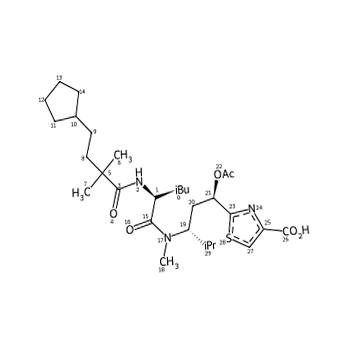 CC[C@H](C)[C@H](NC(=O)C(C)(C)CCC1CCCC1)C(=O)N(C)[C@H](C[C@@H](OC(C)=O)c1nc(C(=O)O)cs1)C(C)C